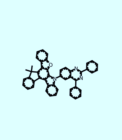 CC1(C)c2ccccc2-c2c1c1c3ccccc3oc1c1c2c2ccccc2n1-c1ccc2nc(-c3ccccc3)nc(-c3ccccc3)c2c1